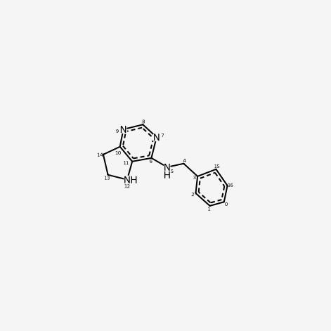 c1ccc(CNc2ncnc3c2NCC3)cc1